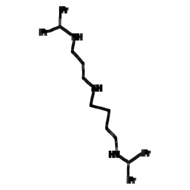 CC(C)C(NCCCCNCCCNC(C(C)C)C(C)C)C(C)C